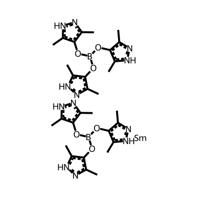 Cc1n[nH]c(C)c1OB(Oc1c(C)n[nH]c1C)Oc1c(C)n[nH]c1C.Cc1n[nH]c(C)c1OB(Oc1c(C)n[nH]c1C)Oc1c(C)n[nH]c1C.[Sm]